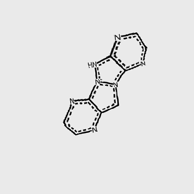 c1cnc2c(cn3c4nccnc4[nH][n+]23)n1